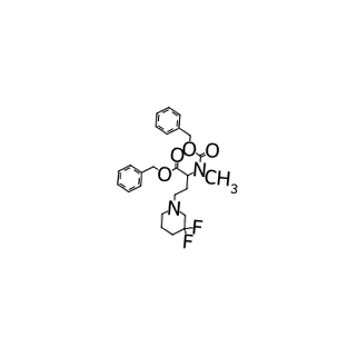 CN(C(=O)OCc1ccccc1)C(CCN1CCCC(F)(F)C1)C(=O)OCc1ccccc1